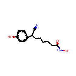 N#CC(CCCCCC(=O)NO)c1ccc(O)cc1